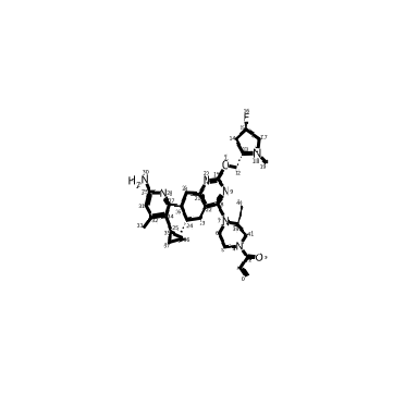 C=CC(=O)N1CCN(c2nc(OC[C@@H]3C[C@@H](F)CN3C)nc3c2C[C@H](C)[C@@H](c2nc(N)cc(C)c2C2CC2)C3)[C@@H](C)C1